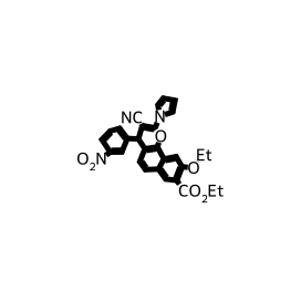 CCOC(=O)c1cc2ccc3c(c2cc1OCC)OC(n1cccc1)=C(C#N)C3c1cccc([N+](=O)[O-])c1